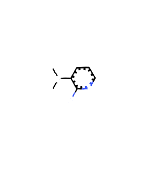 C[SiH](C)c1cccnc1N